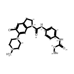 CN1CCN(c2cc3c(cc2Cl)CCN3C(=O)Nc2ccc(NC(=O)OC(C)(C)C)cc2)CC1